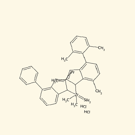 CC1=Cc2c(-c3c(C)cccc3C)ccc(C)c2[CH]1[Zr]([CH3])([CH3])(=[SiH2])[CH]1C(C(C)C)=Cc2c(-c3ccccc3)cccc21.Cl.Cl